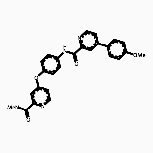 CNC(=O)c1cc(Oc2ccc(NC(=O)c3cc(-c4ccc(OC)cc4)ccn3)cc2)ccn1